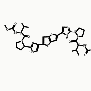 COC(=O)N[C@H](C(=O)N1CCCC1c1nc(-c2cc3sc(-c4cnc([C@@H]5CCCN5C(=O)[C@@H](NC(=O)O)C(C)C)[nH]4)cc3s2)c[nH]1)C(C)C